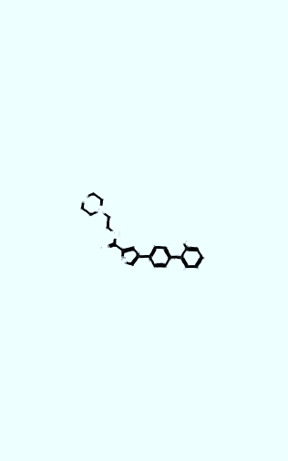 O=C(NCCN1CCOCC1)c1cc(-c2ccc(-c3ccccc3F)cc2)cs1